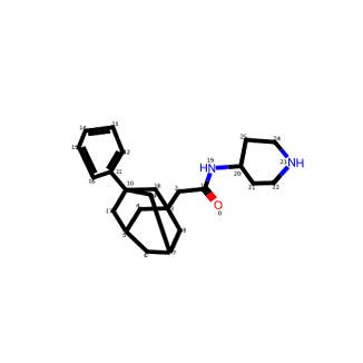 O=C(CC12CC3CC(C1)CC(c1ccccc1)(C3)C2)NC1CCNCC1